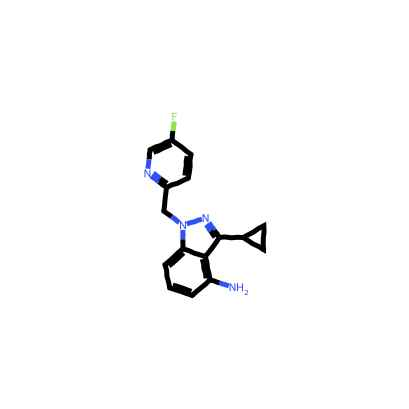 Nc1cccc2c1c(C1CC1)nn2Cc1ccc(F)cn1